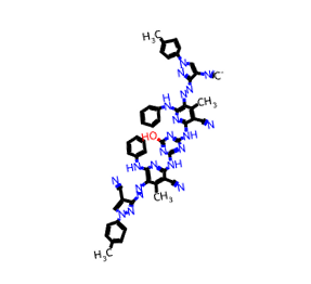 [C-]#[N+]c1cn(-c2ccc(C)cc2)nc1/N=N/c1c(Nc2ccccc2)nc(Nc2nc(O)nc(Nc3nc(Nc4ccccc4)c(/N=N/c4nn(-c5ccc(C)cc5)cc4C#N)c(C)c3C#N)n2)c(C#N)c1C